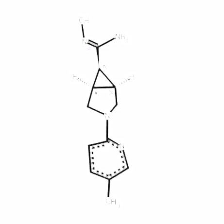 Cc1ccc(N2C[C@@H]3[C@H](C2)[C@@H]3/C(N)=N/O)nc1